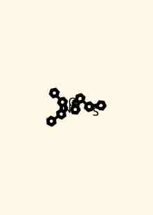 c1ccc(-c2ccc3c(c2)c2cc(-c4ccccc4)ccc2n3-c2cccc3c2oc2cccc(-c4ccc5sc6ccccc6c5c4)c23)cc1